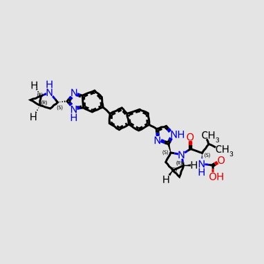 CC(C)[C@H](NC(=O)O)C(=O)N1[C@@H]2C[C@@H]2C[C@H]1c1nc(-c2ccc3cc(-c4ccc5nc([C@@H]6C[C@H]7C[C@H]7N6)[nH]c5c4)ccc3c2)c[nH]1